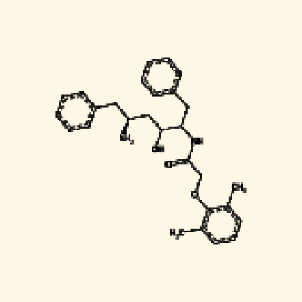 Cc1cccc(C)c1OCC(=O)NC(Cc1ccccc1)C(O)C[C@@H](N)Cc1ccccc1